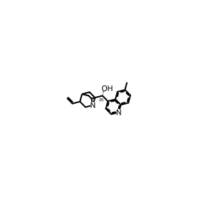 C=CC1CN2CCC1CC2[C@H](O)c1ccnc2ccc(C)cc12